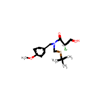 COc1ccc(CN(CSC(C)(C)C)C(=O)[C@@H](Br)CO)cc1